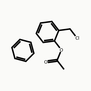 CC(=O)Oc1ccccc1CCl.c1ccccc1